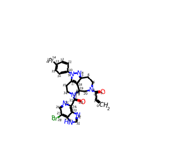 C=CC(=O)N1CCc2nn(-c3ccc(C(C)C)cc3)c3c2[C@@H](C1)N(C(=O)c1ncc(Br)c2[nH]cnc12)CC3